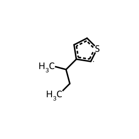 CCC(C)c1[c]scc1